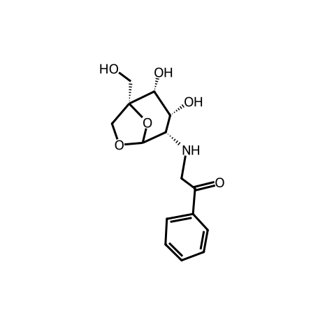 O=C(CN[C@@H]1C2OC[C@](CO)(O2)[C@H](O)[C@@H]1O)c1ccccc1